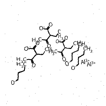 CCC(C(C)=O)C(=O)[O-].CCC(C(C)=O)C(=O)[O-].CCC(C(C)=O)C(=O)[O-].CCCC[O-].CCCC[O-].CCCC[O-].[Al+3].[Al+3]